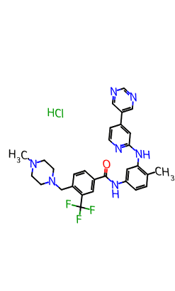 Cc1ccc(NC(=O)c2ccc(CN3CCN(C)CC3)c(C(F)(F)F)c2)cc1Nc1cc(-c2cncnc2)ccn1.Cl